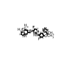 CC1(C)Oc2cc(F)c(Nc3ncc(F)c(NCC4C[C@H]5CCCN5C(C)(C)C4)n3)cc2-n2nnnc21